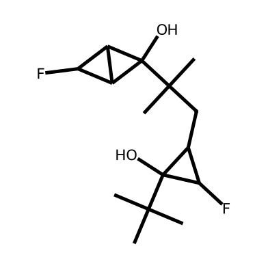 CC(C)(C)C1(O)C(F)C1CC(C)(C)C1(O)C2C(F)C21